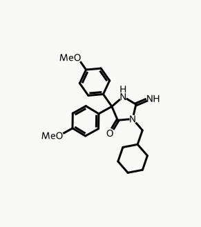 COc1ccc(C2(c3ccc(OC)cc3)NC(=N)N(CC3CCCCC3)C2=O)cc1